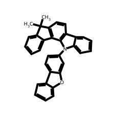 CC1(C)c2ccccc2-c2c1ccc1c3ccccc3n(-c3ccc4c(c3)oc3ccccc34)c21